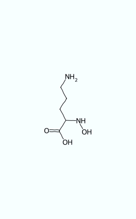 NCCCC(NO)C(=O)O